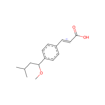 COC(CC(C)C)c1ccc(/C=C/C(=O)O)cc1